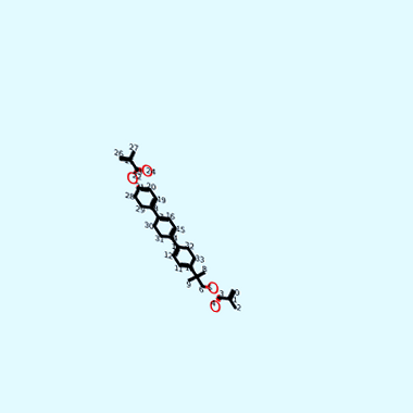 C=C(C)C(=O)OCC(C)(C)C1=CC=C(C2=CC=C(C3=CC=C(OC(=O)C(=C)C)CC3)CC2)CC1